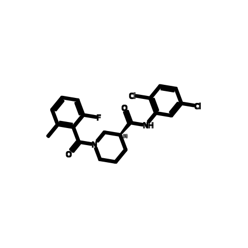 Cc1cccc(F)c1C(=O)N1CCC[C@H](C(=O)Nc2cc(Cl)ccc2Cl)C1